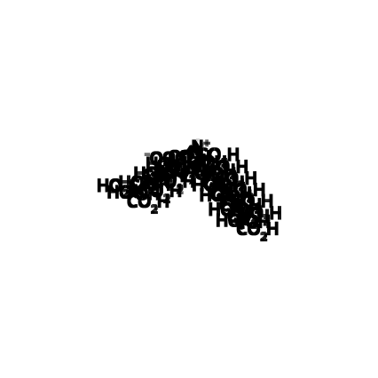 C[N+](C)(C)CC(O)CC(=O)[O-].O=C(O)C(O)C(O)C(=O)O.O=C(O)C(O)C(O)C(=O)O.O=C(O)C(O)C(O)C(=O)O.O=C(O)C(O)C(O)C(=O)O.O=C(O)C(O)C(O)C(=O)O.O=C(O)C(O)C(O)C(=O)O.O=C(O)C(O)C(O)C(=O)O.O=C(O)C(O)C(O)C(=O)O.O=C(O)C(O)C(O)C(=O)O.O=C(O)C(O)C(O)C(=O)O